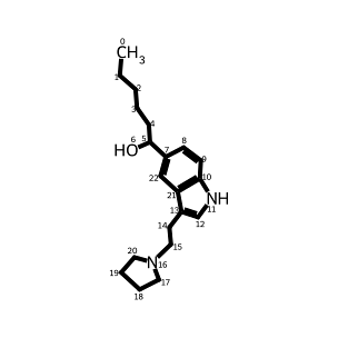 CCCCCC(O)c1ccc2[nH]cc(CCN3CCCC3)c2c1